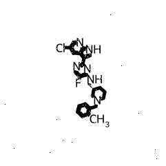 Cc1ccccc1CN1CCC[C@@H](CNc2nc(-c3c[nH]c4ncc(Cl)cc34)ncc2F)C1